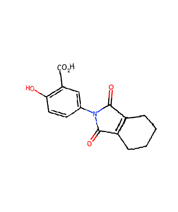 O=C(O)c1cc(N2C(=O)C3=C(CCCC3)C2=O)ccc1O